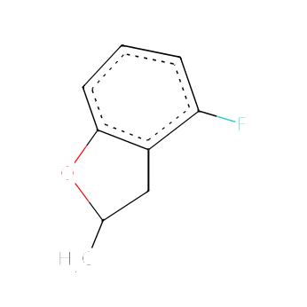 [CH2]C1Cc2c(F)cccc2O1